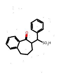 O=C1c2ccccc2CCCC1C(c1ccccc1)S(=O)(=O)O